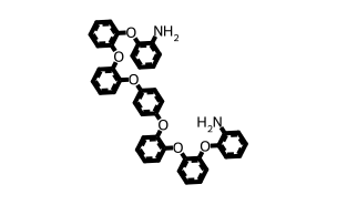 Nc1ccccc1Oc1ccccc1Oc1ccccc1Oc1ccc(Oc2ccccc2Oc2ccccc2Oc2ccccc2N)cc1